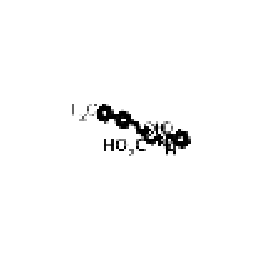 O=C(O)C(CCn1nnc2ccccc2c1=O)C(O)CCc1ccc(-c2ccc(C(F)(F)F)cc2)cc1